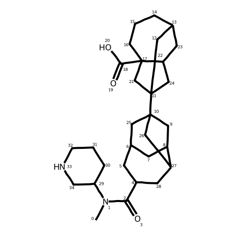 CN(C(=O)C1CC2CC3CC(C45CC6CCCC(C(=O)O)(C4)C(C6)C5)(C2)CC3C1)C1CCCNC1